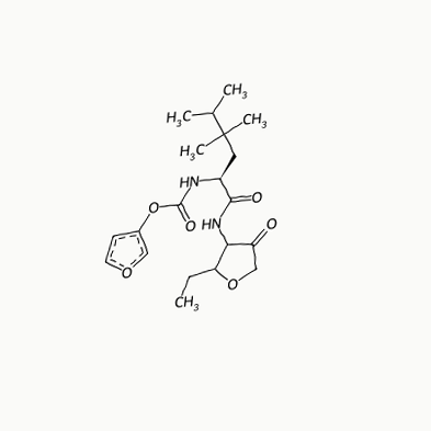 CCC1OCC(=O)C1NC(=O)[C@H](CC(C)(C)C(C)C)NC(=O)Oc1ccoc1